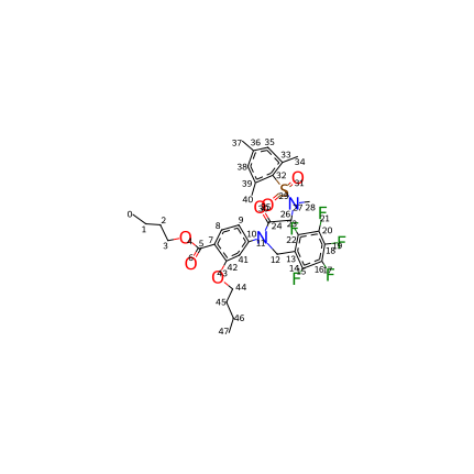 CCCCOC(=O)c1ccc(N(Cc2c(F)c(F)c(F)c(F)c2F)C(=O)CN(C)S(=O)(=O)c2c(C)cc(C)cc2C)cc1OCCCC